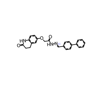 O=C(COc1ccc2c(c1)CCC(=O)N2)N/N=C/c1ccc(-c2ccccc2)cc1